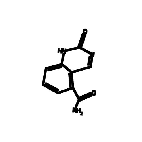 NC(=O)c1cccc2[nH]c(=O)ncc12